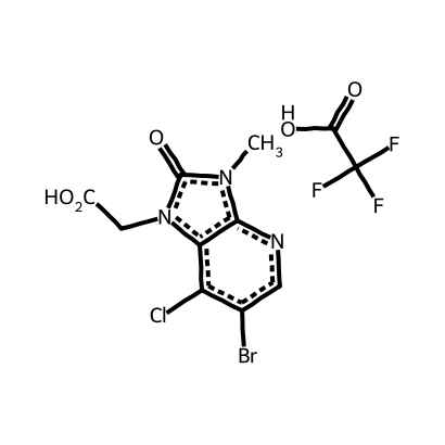 Cn1c(=O)n(CC(=O)O)c2c(Cl)c(Br)cnc21.O=C(O)C(F)(F)F